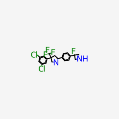 FC1(c2ccc(C3=NCC(c4cc(Cl)cc(Cl)c4)(C(F)(F)F)C3)cc2)CNC1